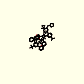 CC(C)c1ccc2c(c1)C1c3c(c4ccc5c6ccccc6oc5c4c4n(-c5c(-c6ccccc6)cc(C(C)(C)C)cc5-c5ccccc5)c5ccccc5[n+]34)C1[n+]1cc([Si](C)(C)C)c(CC3CCCC3)cc1-2